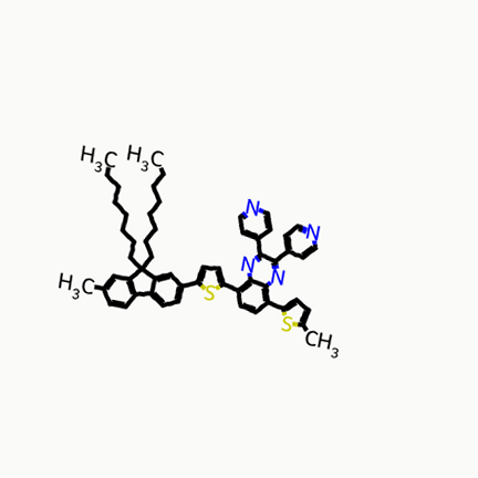 CCCCCCCCC1(CCCCCCCC)c2cc(C)ccc2-c2ccc(-c3ccc(-c4ccc(-c5ccc(C)s5)c5nc(-c6ccncc6)c(-c6ccncc6)nc45)s3)cc21